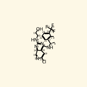 Cc1c([C@@H](C)Nc2nc(NCCO)nc3cnc(Cl)cc23)cccc1C(F)(F)F